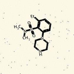 CCc1cccc(N2CCNCC2)c1S(=O)(=O)N(C)C